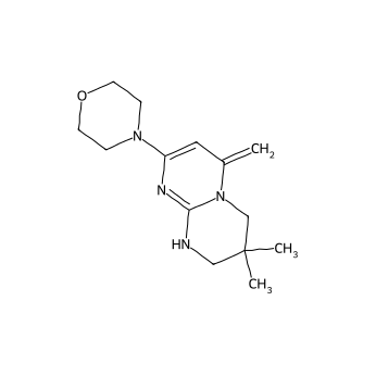 C=C1C=C(N2CCOCC2)N=C2NCC(C)(C)CN12